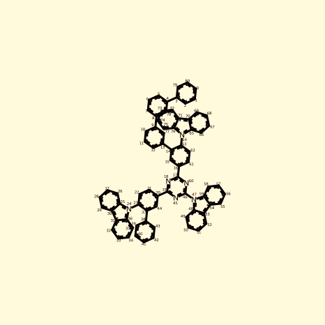 c1ccc(-c2cccc(-c3cccc(-c4cc(-c5nc(-c6ccc(-n7c8ccccc8c8ccccc87)c(-c7ccccc7)c6)nc(-n6c7ccccc7c7ccccc76)n5)ccc4-n4c5ccccc5c5ccccc54)c3)c2)cc1